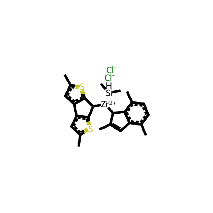 CC1=Cc2c(C)ccc(C)c2[CH]1[Zr+2]([CH]1c2sc(C)cc2-c2cc(C)sc21)[SiH](C)C.[Cl-].[Cl-]